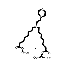 CCCCCCCCCOC(=O)CCCCCCCN(CCCCCCCC(=O)OC(CCCCCCCC)CCCCCCCC)CCN1CCOCC1